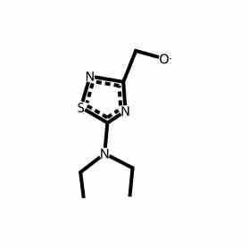 CCN(CC)c1nc(C[O])ns1